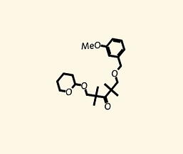 COc1cccc(COCC(C)(C)C(=O)C(C)(C)COC2CCCCO2)c1